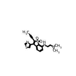 CC#CC1=C(c2cscn2)c2cccc(NCCN(C)C)c2S1(=O)=O